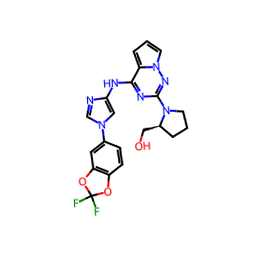 OC[C@@H]1CCCN1c1nc(Nc2cn(-c3ccc4c(c3)OC(F)(F)O4)cn2)c2cccn2n1